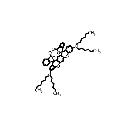 CCCCCCN(CCCCCC)c1ccc2c(c1)Oc1cc3c(cc1C21OC(=O)c2ccccc21)C1(OC(=O)c2ccccc21)c1ccc(N(CCCCCC)CCCCCC)cc1O3